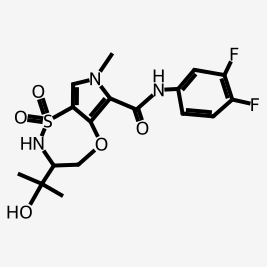 Cn1cc2c(c1C(=O)Nc1ccc(F)c(F)c1)OCC(C(C)(C)O)NS2(=O)=O